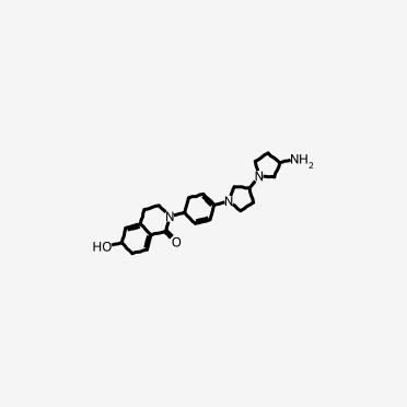 NC1CCN(C2CCN(C3=CCC(N4CCC5=CC(O)CC=C5C4=O)C=C3)C2)C1